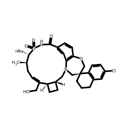 CCCC[C@H]1[C@H](C)C/C=C(/CO)[C@@H]2CC[C@H]2CN2C[C@@]3(CCCc4cc(Cl)ccc43)COc3ccc(cc32)C(=O)NS1(=O)=O